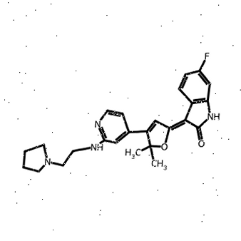 CC1(C)OC(=C2C(=O)Nc3cc(F)ccc32)C=C1c1ccnc(NCCN2CCCC2)c1